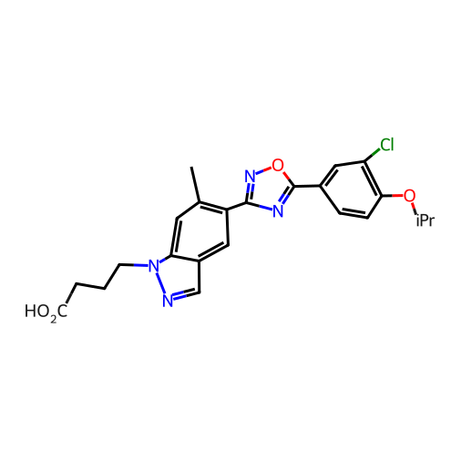 Cc1cc2c(cnn2CCCC(=O)O)cc1-c1noc(-c2ccc(OC(C)C)c(Cl)c2)n1